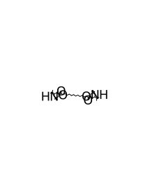 CC(C)C1CC(C(=O)OCCCCCCCCCCOC(=O)C2CC(C(C)C)NC(C)(C)C2)CC(C)(C)N1